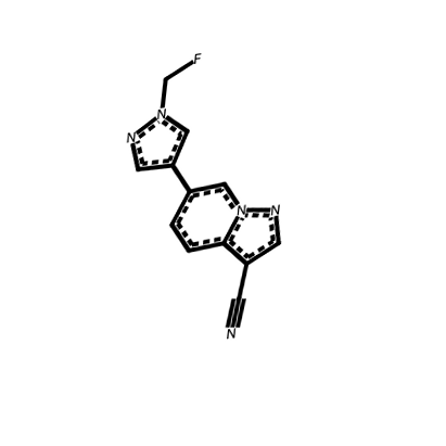 N#Cc1cnn2cc(-c3cnn(CF)c3)ccc12